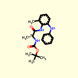 Cc1cccc(Nc2ccccc2)c1NC(=O)[C@@H](C)NC(=O)OC(C)(C)C